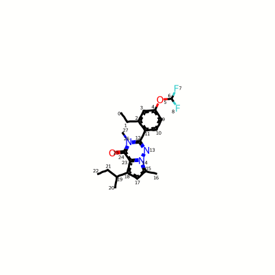 CCc1cc(OC(F)F)ccc1-c1nn2c(C)cc(C(C)CC)c2c(=O)n1C